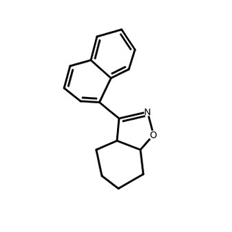 c1ccc2c(C3=NOC4CCCCC34)cccc2c1